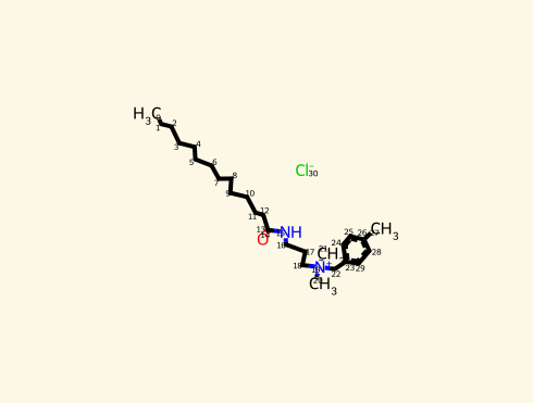 CCCCCCCCCCCCCC(=O)NCCC[N+](C)(C)Cc1ccc(C)cc1.[Cl-]